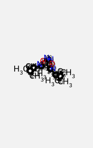 CC1(C)CCC(C)(C)c2cc(-c3ccc4c(n3)Oc3ncnc5c3B4c3ccc(-c4ccc6c(c4)C(C)(C)CCC6(C)C)nc3O5)ccc21